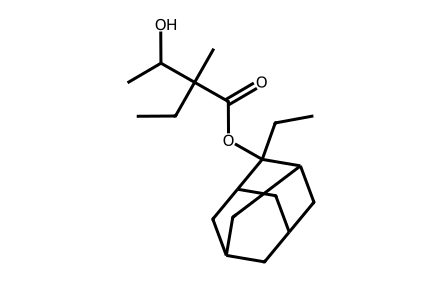 CCC(C)(C(=O)OC1(CC)C2CC3CC(C2)CC1C3)C(C)O